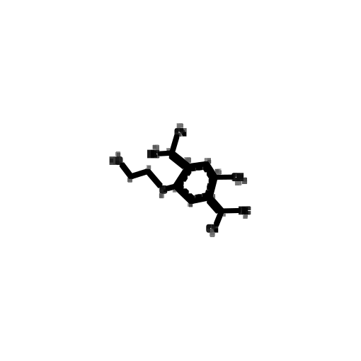 [C-]#[N+]C([N+]#[C-])=c1cc(OCCO)c(=C(C#N)C#N)cc1C